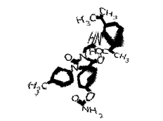 Cc1ccc(N2C(=O)N(CC(=O)Nc3c(C(C)C)cccc3C(C)C)C(=O)C23CCC(OC(N)=O)CC3)cc1